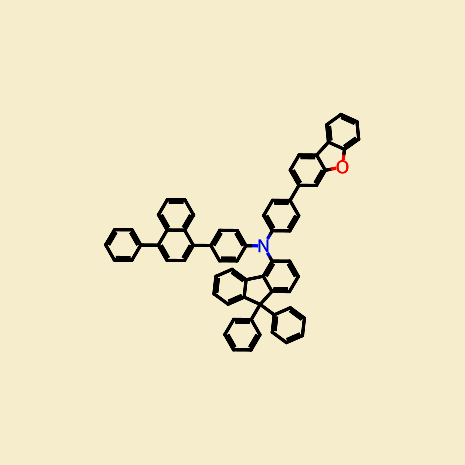 c1ccc(-c2ccc(-c3ccc(N(c4ccc(-c5ccc6c(c5)oc5ccccc56)cc4)c4cccc5c4-c4ccccc4C5(c4ccccc4)c4ccccc4)cc3)c3ccccc23)cc1